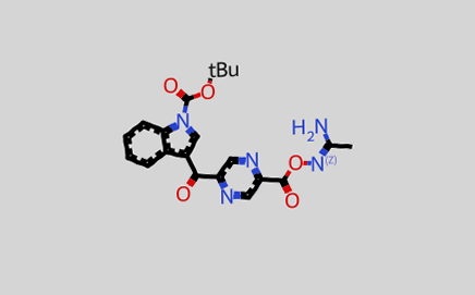 C/C(N)=N/OC(=O)c1cnc(C(=O)c2cn(C(=O)OC(C)(C)C)c3ccccc23)cn1